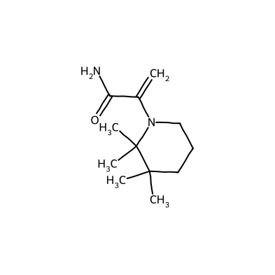 C=C(C(N)=O)N1CCCC(C)(C)C1(C)C